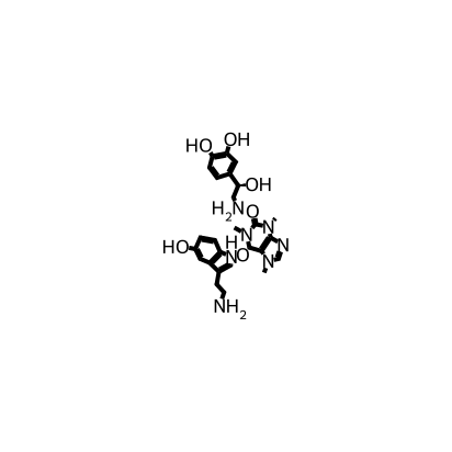 Cn1c(=O)c2c(ncn2C)n(C)c1=O.NCCc1c[nH]c2ccc(O)cc12.NC[C@H](O)c1ccc(O)c(O)c1